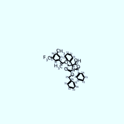 Cc1cc([C@@H](C)OC[C@@]2(c3ccccc3)C(O)O[C@H](c3ccccc3)N2C(=O)OCc2ccccc2)cc(C(F)(F)F)c1